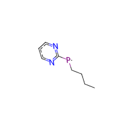 CCCC[P]c1ncccn1